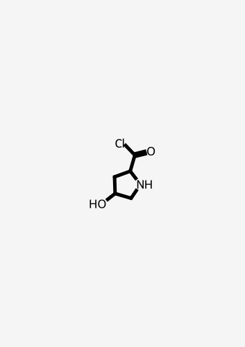 O=C(Cl)C1CC(O)CN1